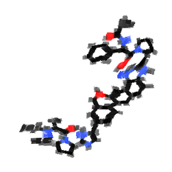 COC(=O)N[C@@H](C(=O)N1CCC[C@H]1c1nc2ccc3cc4c(cc3c2[nH]1)OCc1cc(-c2cnc([C@@H]3CC[C@H](C)N3C(=O)[C@@H](NC(=O)O)C(C)C)[nH]2)ccc1-4)c1ccccc1